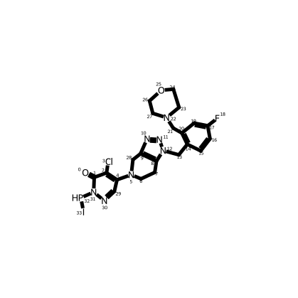 O=c1c(Cl)c(N2CCc3c(nnn3Cc3ccc(F)cc3CN3CCOCC3)C2)cnn1PI